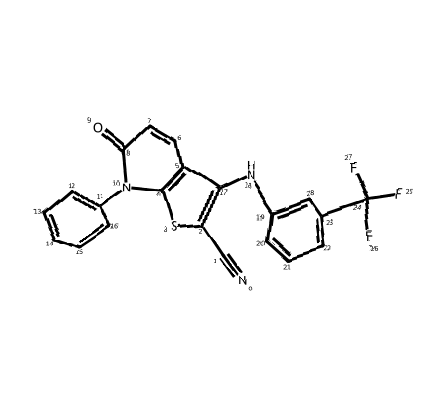 N#Cc1sc2c(ccc(=O)n2-c2ccccc2)c1Nc1cccc(C(F)(F)F)c1